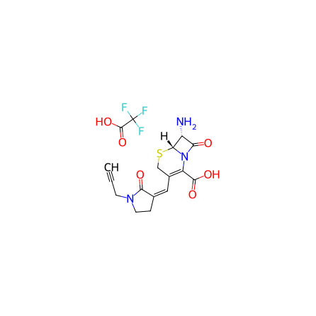 C#CCN1CCC(=CC2=C(C(=O)O)N3C(=O)[C@@H](N)[C@H]3SC2)C1=O.O=C(O)C(F)(F)F